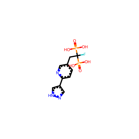 O=P(O)(O)C(F)(Cc1ccc(-c2cn[nH]c2)nc1)P(=O)(O)O